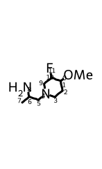 COC1CCN(CC(C)N)CC1F